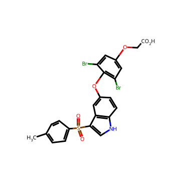 Cc1ccc(S(=O)(=O)c2c[nH]c3ccc(Oc4c(Br)cc(OCC(=O)O)cc4Br)cc23)cc1